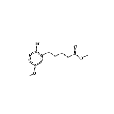 COC(=O)CCCCc1cc(OC)ccc1Br